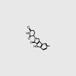 Cc1ccc2[nH]c3c(c2c1)CN(C1CCC(=O)NC1=O)C3=O